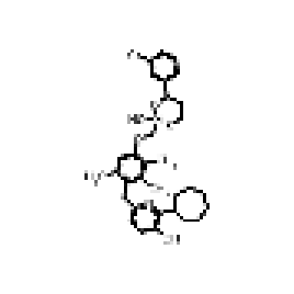 Cc1cc(OC[PH]2(O)OCCC(c3cccc(Cl)c3)O2)c(C)c(C)c1Cc1ccc(O)c(C2CCCCCC2)n1